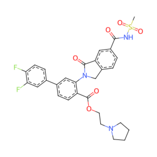 CS(=O)(=O)NC(=O)c1ccc2c(c1)C(=O)N(c1cc(-c3ccc(F)c(F)c3)ccc1C(=O)OCCN1CCCC1)C2